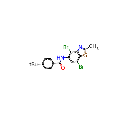 Cc1nc2c(Br)c(NC(=O)c3ccc(C(C)(C)C)cc3)cc(Br)c2s1